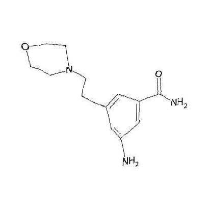 NC(=O)c1cc(N)cc(CCN2CCOCC2)c1